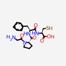 NCC(=O)N1CCC[C@H]1C(=O)N[C@@H](Cc1ccccc1)C(=O)N[C@@H](CS)C(=O)O